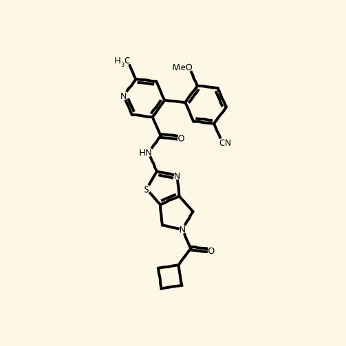 COc1ccc(C#N)cc1-c1cc(C)ncc1C(=O)Nc1nc2c(s1)CN(C(=O)C1CCC1)C2